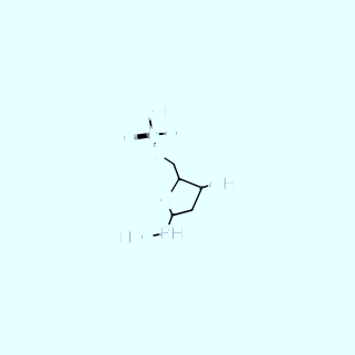 CBC1CC(O)C(COP(=O)(O)O)O1